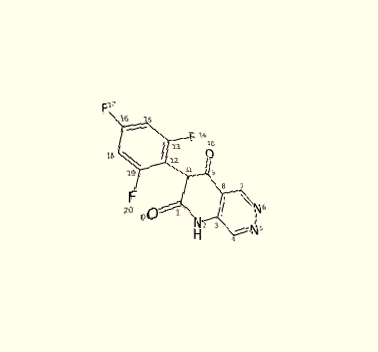 O=C1Nc2cnncc2C(=O)C1c1c(F)cc(F)cc1F